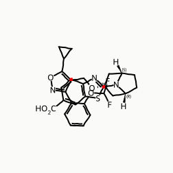 O=C(O)c1ccc2nc(N3[C@@H]4CC[C@H]3C[C@@H](OCc3c(-c5ccccc5OC(F)F)noc3C3CC3)C4)sc2c1